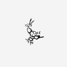 CSc1cc2c(cc1C(F)(F)F)c1cc(C)ccc1n2[C@@H]1CCCN(C(=O)OC(C)(C)C)C[C@H]1O